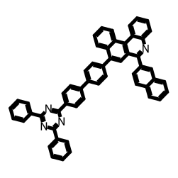 c1ccc(-c2nc(-c3ccccc3)nc(-c3ccc(-c4ccc(-c5cc6c(-c7ccc8ccccc8c7)nc7ccccc7c6c6ccccc56)cc4)cc3)n2)cc1